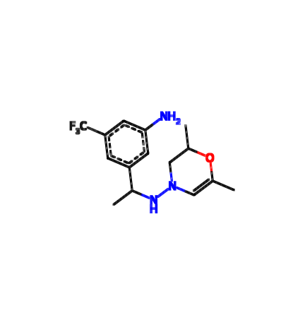 CC1=CN(NC(C)c2cc(N)cc(C(F)(F)F)c2)CC(C)O1